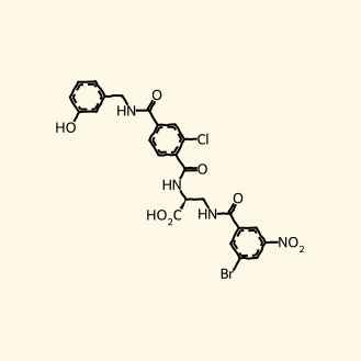 O=C(NCc1cccc(O)c1)c1ccc(C(=O)N[C@@H](CNC(=O)c2cc(Br)cc([N+](=O)[O-])c2)C(=O)O)c(Cl)c1